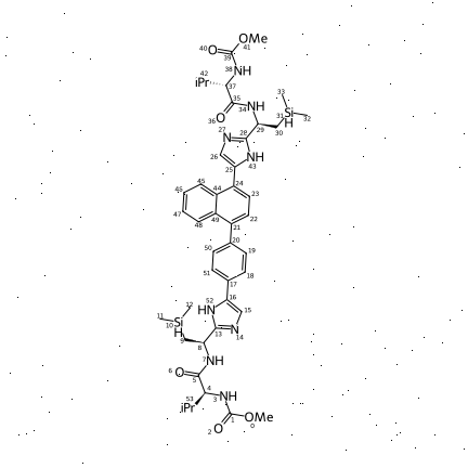 COC(=O)N[C@H](C(=O)N[C@@H](C[SiH](C)C)c1ncc(-c2ccc(-c3ccc(-c4cnc([C@H](C[SiH](C)C)NC(=O)[C@@H](NC(=O)OC)C(C)C)[nH]4)c4ccccc34)cc2)[nH]1)C(C)C